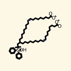 COC(=O)CCCCCCC/C=C\CCCCCCCCC(CCCCCCCC/C=C\CCCCCCCC(=O)OC)CC(C)(C)[Si](O)(c1ccccc1)c1ccccc1